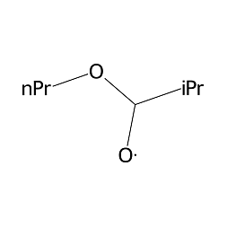 CCCOC([O])C(C)C